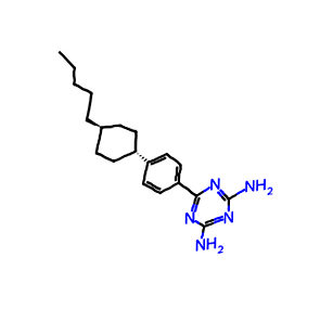 CCCCC[C@H]1CC[C@H](c2ccc(-c3nc(N)nc(N)n3)cc2)CC1